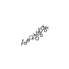 CSc1cc(C)[nH]c(=O)c1CNC(=O)c1c(C)n([C@H](C)C2CCC(N3CC(OC(F)F)C3)CC2)c2c(F)cccc12